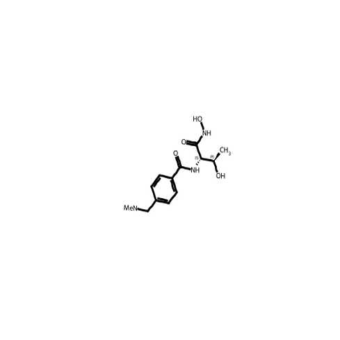 CNCc1ccc(C(=O)N[C@H](C(=O)NO)[C@@H](C)O)cc1